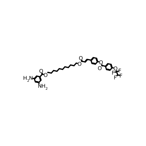 Nc1cc(N)cc(C(=O)OCCCCCCCCCCCOC(=O)C=Cc2ccc(OC(=O)c3ccc(OC(F)(F)C(F)F)cc3)cc2)c1